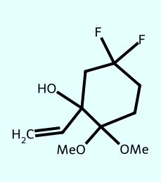 C=CC1(O)CC(F)(F)CCC1(OC)OC